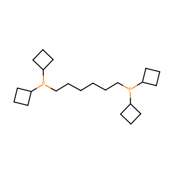 C(CCCP(C1CCC1)C1CCC1)CCP(C1CCC1)C1CCC1